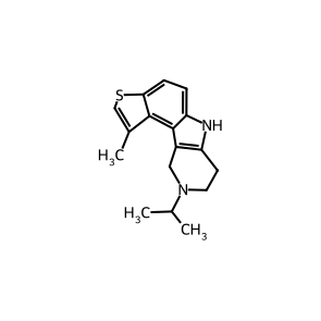 Cc1csc2ccc3[nH]c4c(c3c12)CN(C(C)C)CC4